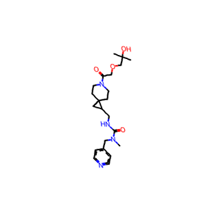 CN(Cc1ccncc1)C(=O)NCC1CC12CCN(C(=O)COCC(C)(C)O)CC2